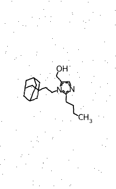 CCCCc1ncc(CO)n1CCC12CC3CC(CC(C3)C1)C2